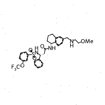 COCCNCc1ccc2c(c1)CCC[C@H]2NC(=O)C[C@@H](NS(=O)(=O)c1cccc(OC(F)(F)F)c1)c1ccccc1